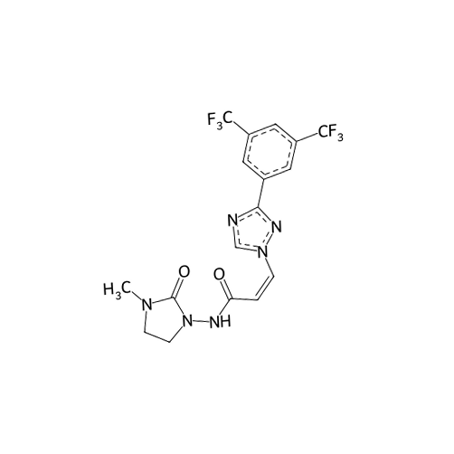 CN1CCN(NC(=O)/C=C\n2cnc(-c3cc(C(F)(F)F)cc(C(F)(F)F)c3)n2)C1=O